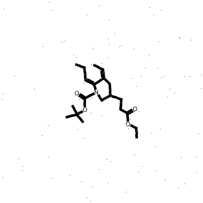 C/C=C1/CC(CCC(=O)OCC)CN(C(=O)OC(C)(C)C)/C1=C/CC